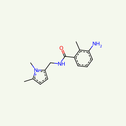 Cc1c(N)cccc1C(=O)NCc1ccc(C)n1C